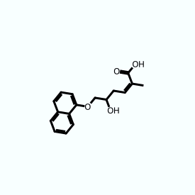 CC(=CCC(O)COc1cccc2ccccc12)C(=O)O